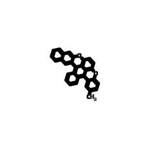 Cc1ccc2c(c1)-c1c3ccccc3c3c4c(ccc(c14)O2)Oc1cc2ccccc2cc1-3